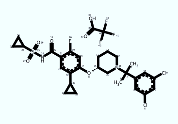 CC(C)(c1cc(Cl)cc(Cl)c1)N1CCC[C@@H](Oc2cc(F)c(C(=O)NS(=O)(=O)C3CC3)cc2C2CC2)C1.O=C(O)C(F)(F)F